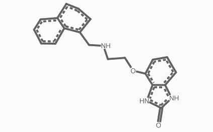 O=c1[nH]c2cccc(OCCNCc3cccc4ccccc34)c2[nH]1